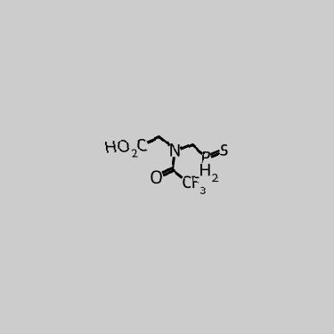 O=C(O)CN(C[PH2]=S)C(=O)C(F)(F)F